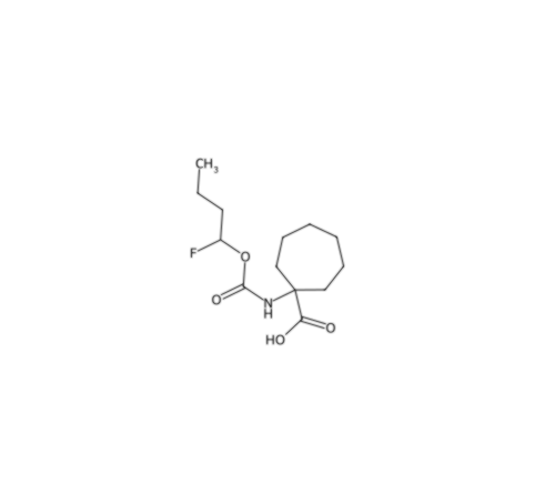 CCCC(F)OC(=O)NC1(C(=O)O)CCCCCC1